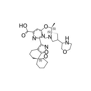 C[C@H](Oc1cc(C(=O)O)nc(-c2noc3c2CCC[C@@]32CCCCC2=O)n1)[C@@H]1CC(C2COCCN2)CN1C